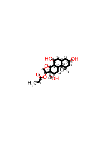 CCC(=O)O[C@H]1COC2C3C(CC[C@@]21CO)[C@@]1(C)CC[C@H](O)CC1C[C@@H]3O